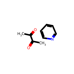 CC(=O)C(C)=O.c1ccncc1